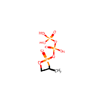 CC1COP1(=O)OP(=O)(O)OP(=O)(O)O